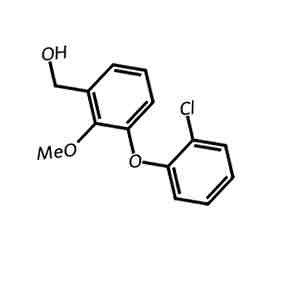 COc1c(CO)cccc1Oc1ccccc1Cl